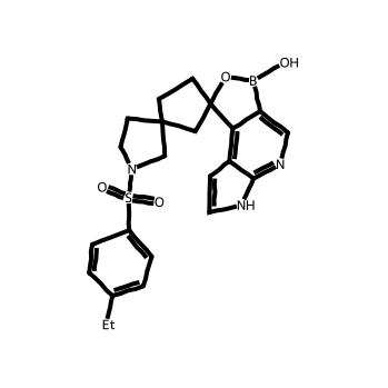 CCc1ccc(S(=O)(=O)N2CCC3(CCC4(C3)OB(O)c3cnc5[nH]ccc5c34)C2)cc1